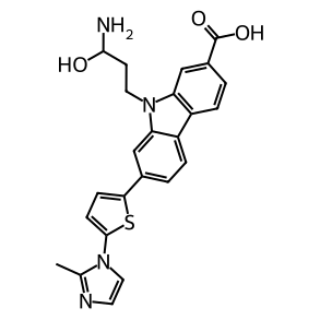 Cc1nccn1-c1ccc(-c2ccc3c4ccc(C(=O)O)cc4n(CCC(N)O)c3c2)s1